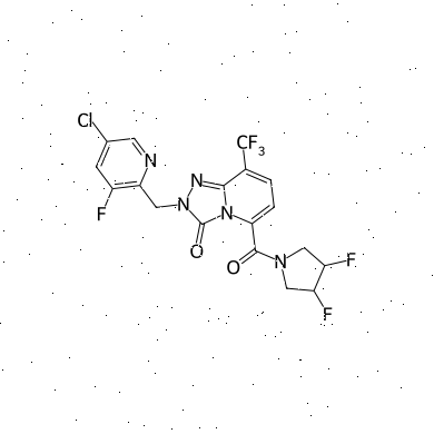 O=C(c1ccc(C(F)(F)F)c2nn(Cc3ncc(Cl)cc3F)c(=O)n12)N1CC(F)C(F)C1